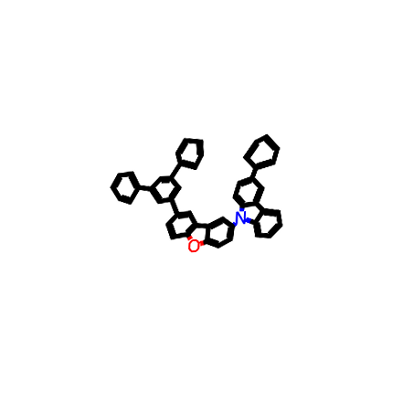 c1ccc(-c2cc(-c3ccccc3)cc(-c3ccc4oc5ccc(-n6c7ccccc7c7cc(-c8ccccc8)ccc76)cc5c4c3)c2)cc1